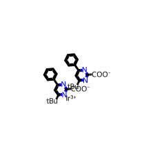 CC(C)(C)c1cc(-c2ccccc2)nc(C(=O)[O-])n1.CC(C)(C)c1cc(-c2ccccc2)nc(C(=O)[O-])n1.[Ir+3]